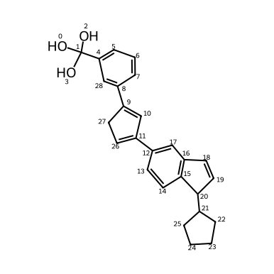 OC(O)(O)c1cccc(C2=CC(c3ccc4c(c3)C=CC4C3CCCC3)=CC2)c1